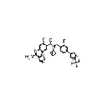 Nc1nc2cc(F)c(C(=O)N(Cc3ccc(-c4cnn(C(F)(F)F)c4)cc3F)C34CC(C3)C4)cc2n2cncc12